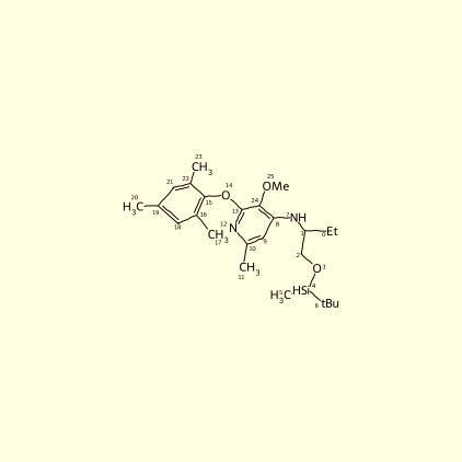 CCC(CO[SiH](C)C(C)(C)C)Nc1cc(C)nc(Oc2c(C)cc(C)cc2C)c1OC